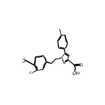 Cc1ccc(-c2cc(C(=O)O)nn2CCc2ccc(Cl)c(Cl)c2)cc1